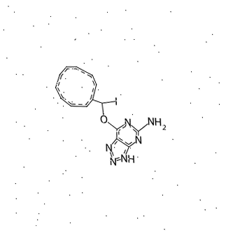 Nc1nc(OC(I)c2ccccccccc2)c2nn[nH]c2n1